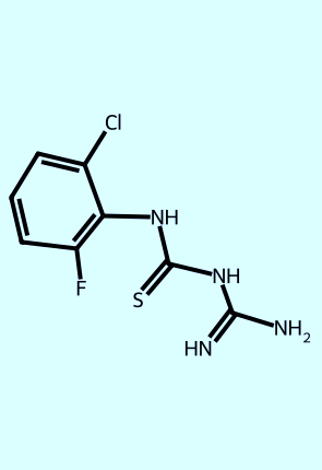 N=C(N)NC(=S)Nc1c(F)cccc1Cl